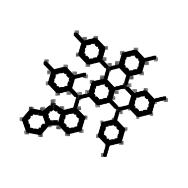 Cc1ccc(N2c3ccc(C)cc3B3c4cc(C)ccc4N(c4ccc(C)cc4)c4cc(N(c5ccc(C)cc5C)c5cccc6c5oc5ccccc56)cc2c43)cc1